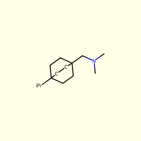 CC(C)C12CCC(CN(C)C)(CC1)CC2